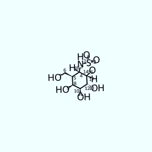 O=S1(=O)N[C@H]2[C@H](CO)[C@H](O)[C@H](O)[C@@H](O)[C@H]2O1